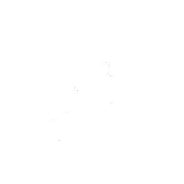 CCc1nn(-c2ccccc2F)cc1CN1CCC2(CC1)OCC(F)(F)c1cc(Cl)sc12